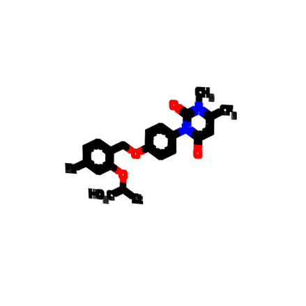 CCc1ccc(COc2ccc(-n3c(=O)cc(C(F)(F)F)n(C)c3=O)cc2)c(OC(CC)C(=O)O)c1